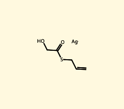 C=CCSC(=O)CO.[Ag]